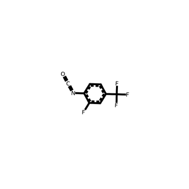 O=C=Nc1ccc(C(F)(F)F)cc1F